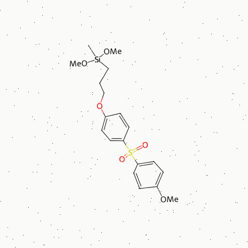 COc1ccc(S(=O)(=O)c2ccc(OCCC[Si](C)(OC)OC)cc2)cc1